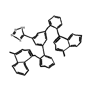 Cc1ccc(-c2ccccc2-c2cc(-c3nnn[nH]3)cc(-c3ccccc3-c3ccc(C)c4ccccc34)c2)c2ccccc12